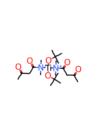 CC(=O)CC(=O)[N+](C)(C)[Ti]([O]C(C)(C)C)([O]C(C)(C)C)[N+](C)(C)C(=O)CC(C)=O